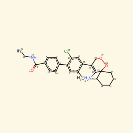 Cc1cc(-c2ccc(C(=O)NCC(C)C)cc2)c(Cl)cc1C1=C(N)C2(CCCCC2)OOC1